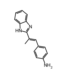 CC(=Cc1ccc(N)cc1)c1nc2ccccc2[nH]1